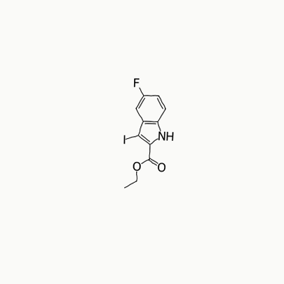 CCOC(=O)c1[nH]c2ccc(F)cc2c1I